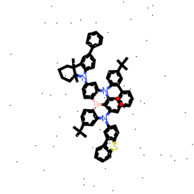 Cc1cc2c3c(c1)N(c1ccc(C(C)(C)C)cc1-c1ccccc1)c1cc(N4c5ccc(-c6ccccc6)cc5C5(C)CCCCC45C)ccc1B3c1ccc(C(C)(C)C)cc1N2c1ccc2sc3ccccc3c2c1